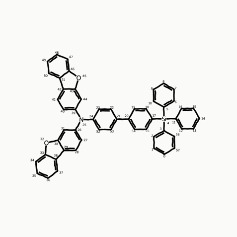 c1ccc([Si](c2ccccc2)(c2ccccc2)c2ccc(-c3ccc(N(c4ccc5c(c4)oc4ccccc45)c4ccc5c(c4)oc4ccccc45)cc3)cc2)cc1